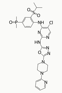 CC(C)S(=O)(=O)c1cc(P(C)(C)=O)ccc1Nc1nc(Nc2nnc(N3CCN(c4ccccn4)CC3)o2)ncc1Cl